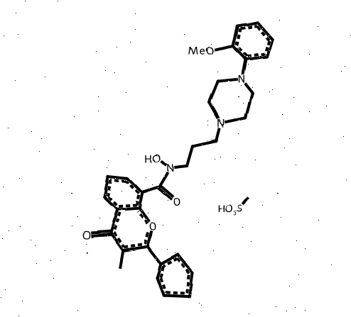 COc1ccccc1N1CCN(CCCN(O)C(=O)c2cccc3c(=O)c(C)c(-c4ccccc4)oc23)CC1.CS(=O)(=O)O